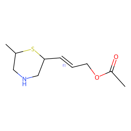 CC(=O)OC/C=C/C1CNCC(C)S1